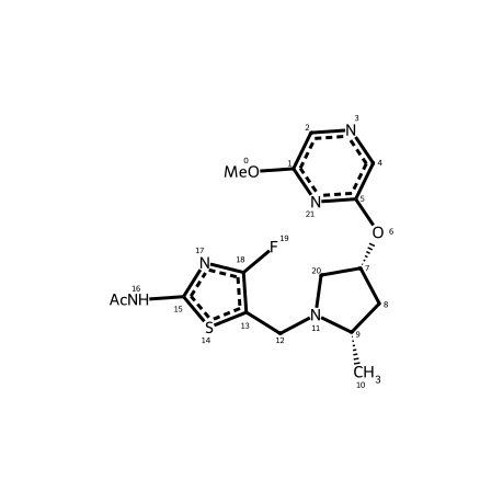 COc1cncc(O[C@@H]2C[C@H](C)N(Cc3sc(NC(C)=O)nc3F)C2)n1